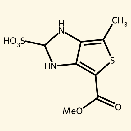 COC(=O)c1sc(C)c2c1NC(S(=O)(=O)O)N2